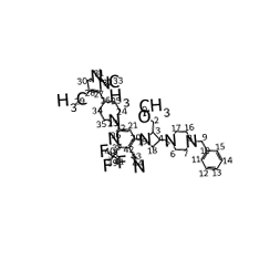 COCC1C(N2CCN(Cc3ccccc3)CC2)CN1c1cc(N2CCC(c3c(C)cnn3C)CC2)nc(C(F)(F)F)c1C#N